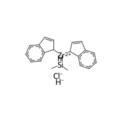 C[SiH](C)[Zr+2]([CH]1C=Cc2ccccc21)[CH]1C=Cc2ccccc21.[Cl-].[H-]